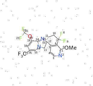 COc1nccc2c1C(F)(F)CC[C@@]21CN2C=C(C(F)(F)F)C=C(OC(F)F)C2=N1